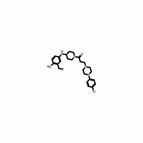 N#Cc1ccc(NC2CCN(C(=O)CCN3CCN(c4ccc(Cl)cc4)CC3)CC2)cc1CF